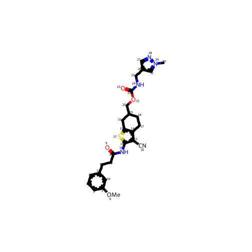 COc1cccc(CCC(=O)Nc2sc3c(c2C#N)CCC(COC(=O)NCc2cnn(C)c2)C3)c1